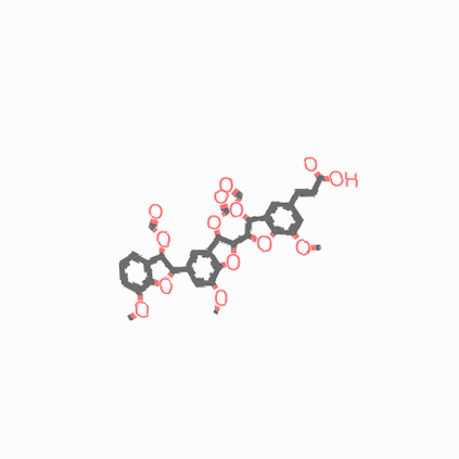 COc1cccc2c1OC(c1cc(OC)c3c(c1)C(OC=O)C(C1Oc4c(OC)cc(/C=C/C(=O)O)cc4C1OC=O)O3)C2OC=O